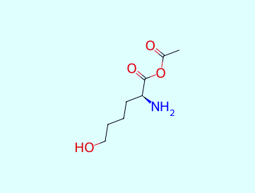 CC(=O)OC(=O)[C@@H](N)CCCCO